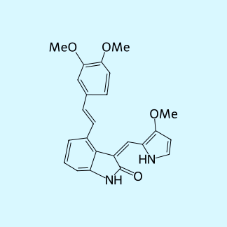 COc1ccc(/C=C/c2cccc3c2/C(=C/c2[nH]ccc2OC)C(=O)N3)cc1OC